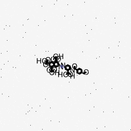 O=Cc1ccc(C(=O)Nc2ccc(/N=N/c3cc(S(=O)(=O)O)c4cc(S(=O)(=O)O)cc(S(=O)(=O)O)c4c3)cc2C(=O)O)cc1